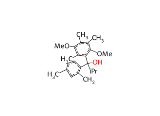 COc1c(C)c(C)c(OC)c(C(O)(c2ccc(C)cc2C)C(C)C)c1C